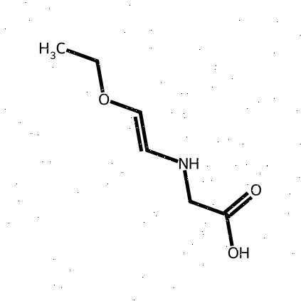 CCOC=CNCC(=O)O